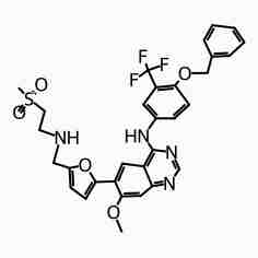 COc1cc2ncnc(Nc3ccc(OCc4ccccc4)c(C(F)(F)F)c3)c2cc1-c1ccc(CNCCS(C)(=O)=O)o1